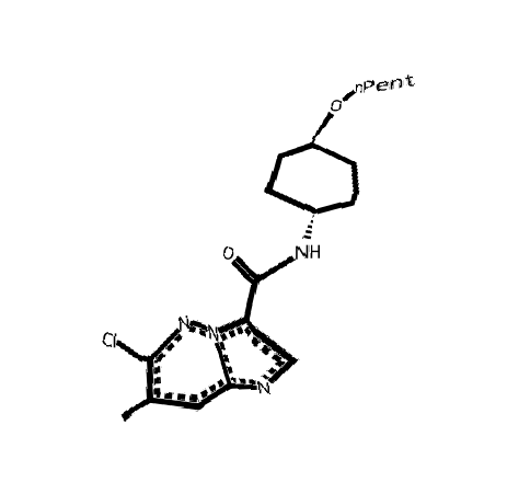 CCCCCO[C@H]1CC[C@H](NC(=O)c2cnc3cc(C)c(Cl)nn23)CC1